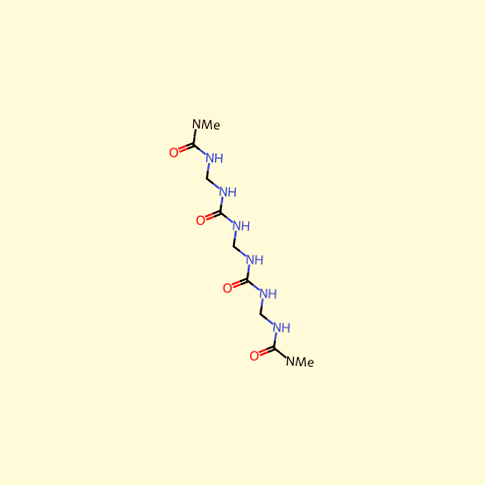 CNC(=O)NCNC(=O)NCNC(=O)NCNC(=O)NC